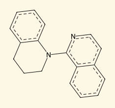 c1ccc2c(c1)CCCN2c1nccc2ccccc12